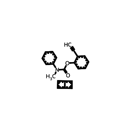 C#Cc1ccccc1OC(=O)N(C)c1ccccc1.c1cc2ccc1-2